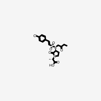 CCC(=O)CN([C@H]1CCN([C@@H](C)C(=O)O)C1=O)S(=O)(=O)C=Cc1ccc(Cl)cc1